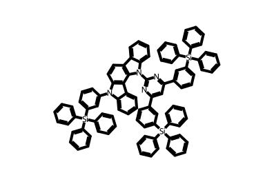 c1ccc([Si](c2ccccc2)(c2ccccc2)c2cccc(-c3cc(-c4cccc([Si](c5ccccc5)(c5ccccc5)c5ccccc5)c4)nc(-n4c5ccccc5c5ccc6c(c7ccccc7n6-c6cccc([Si](c7ccccc7)(c7ccccc7)c7ccccc7)c6)c54)n3)c2)cc1